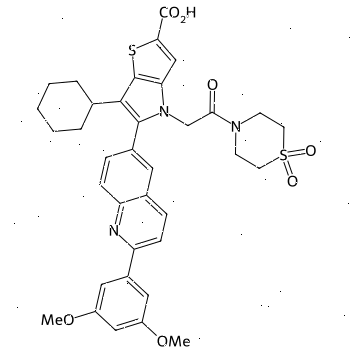 COc1cc(OC)cc(-c2ccc3cc(-c4c(C5CCCCC5)c5sc(C(=O)O)cc5n4CC(=O)N4CCS(=O)(=O)CC4)ccc3n2)c1